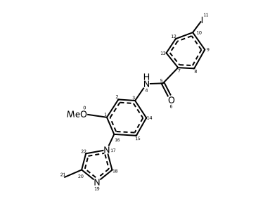 COc1cc(NC(=O)c2ccc(I)cc2)ccc1-n1cnc(C)c1